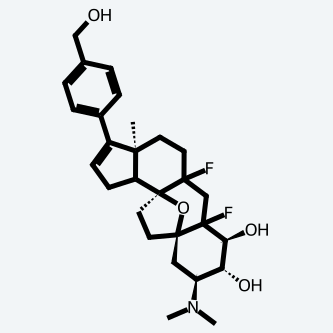 CN(C)[C@H]1C[C@@]23CC[C@]4(O2)C2CC=C(c5ccc(CO)cc5)[C@@]2(C)CCC4(F)CC3(F)[C@@H](O)[C@@H]1O